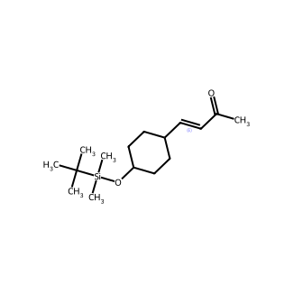 CC(=O)/C=C/C1CCC(O[Si](C)(C)C(C)(C)C)CC1